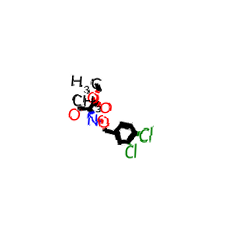 CCOC(=O)C(=NOCc1ccc(Cl)c(Cl)c1)C(C)=O